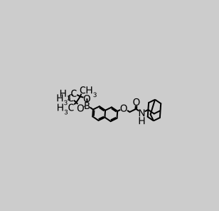 CC1(C)OB(c2ccc3ccc(OCC(=O)NC45CC6CC(CC(C6)C4)C5)cc3c2)OC1(C)C